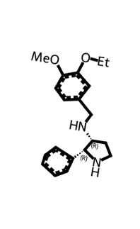 CCOc1cc(CN[C@@H]2CCN[C@@H]2c2ccccc2)ccc1OC